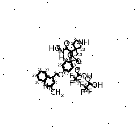 Cc1cc(COc2ccc(S(=O)(=O)CC3(CC(=O)NO)CCNC3)cc2)c2ccccc2n1.O=C(O)C(F)(F)F.O=C(O)C(F)(F)F